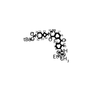 CCN(C)S(=O)(=O)Nc1ccc(F)c(C(=O)c2ccc3ncn(C4CC5(CCN(C(=O)OC(C)(C)C)CC5)C4)c(=O)c3c2)c1F